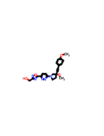 COc1ccc(C#CC2(OC)CCN(c3ccc(-c4nc(CO)no4)nn3)C2)cc1